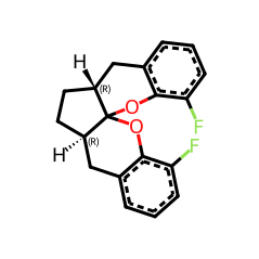 Fc1cccc2c1OC13Oc4c(F)cccc4C[C@H]1CC[C@@H]3C2